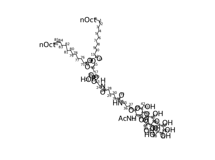 CCCCCCCC/C=C\CCCCCCCCCC(=O)OCC(COP(=O)(O)OCCNC(=O)CCCCC(=O)NCCCO[C@@H]1OC(CO)[C@@H](O[C@@H]2OC(CO)[C@H](O)C(O[C@H]3OC(CO)[C@H](O)C(O)C3O)C2O)C(O)C1NC(C)=O)OC(=O)CCCCCCCCC/C=C\CCCCCCCC